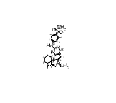 CN1N=C(F)C2(CCCCC2)n2c1cc1cnc(Nc3ccc(S(N)(=O)=O)cc3)nc12